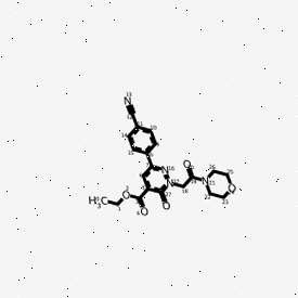 CCOC(=O)c1cc(-c2ccc(C#N)cc2)nn(CC(=O)N2CCOCC2)c1=O